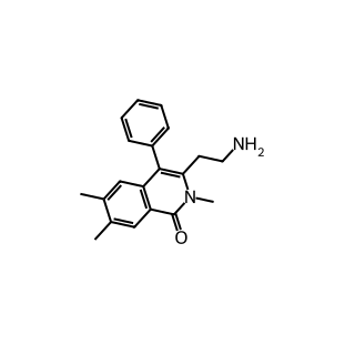 Cc1cc2c(-c3ccccc3)c(CCN)n(C)c(=O)c2cc1C